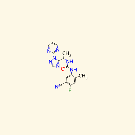 Cc1cc(F)c(C#N)cc1NC(=O)NC(C)c1ncnn1-c1ncccn1